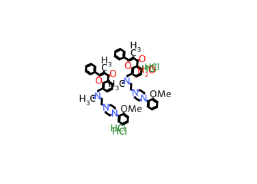 COc1ccccc1N1CCN(CCN(C)Cc2cccc3c(=O)c(C)c(-c4ccccc4)oc23)CC1.COc1ccccc1N1CCN(CCN(C)Cc2cccc3c(=O)c(C)c(-c4ccccc4)oc23)CC1.Cl.Cl.Cl.Cl.O